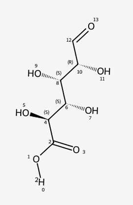 [2H]OC(=O)[C@@H](O)[C@@H](O)[C@H](O)[C@@H](O)C=O